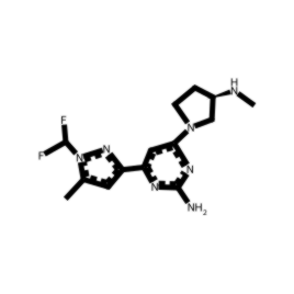 CN[C@@H]1CCN(c2cc(-c3cc(C)n(C(F)F)n3)nc(N)n2)C1